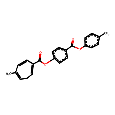 CC1=CCC=C(C(=O)Oc2ccc(C(=O)Oc3ccc(C)cc3)cc2)C=C1